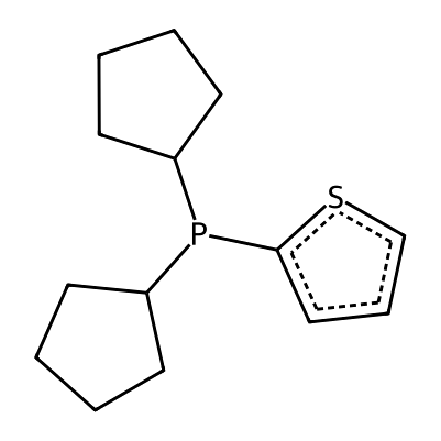 c1csc(P(C2CCCC2)C2CCCC2)c1